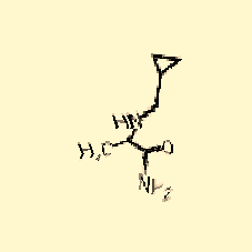 CC(NCC1CC1)C(N)=O